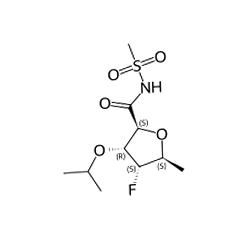 CC(C)O[C@H]1[C@@H](F)[C@H](C)O[C@@H]1C(=O)NS(C)(=O)=O